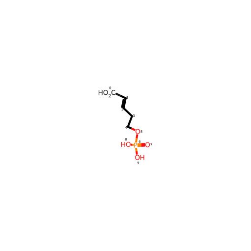 O=C(O)C=CCCOP(=O)(O)O